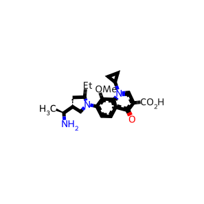 CCC1C[C@@H]([C@H](C)N)CN1c1ccc2c(=O)c(C(=O)O)cn(C3CC3)c2c1OC